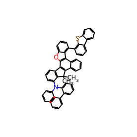 CC1(C)c2c(cccc2N(c2ccccc2)c2ccccc2-c2ccccc2)-c2c1c1ccccc1c1c2oc2cccc(-c3cccc4c3sc3ccccc34)c21